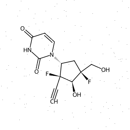 C#C[C@@]1(F)[C@H](O)[C@@](F)(CO)C[C@H]1n1ccc(=O)[nH]c1=O